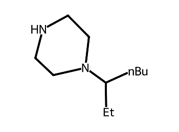 [CH2]CC(CCCC)N1CCNCC1